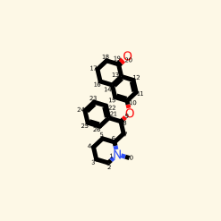 CN1CCCCC1CC(Oc1ccc2c(c1)CCCC2=O)c1ccccc1